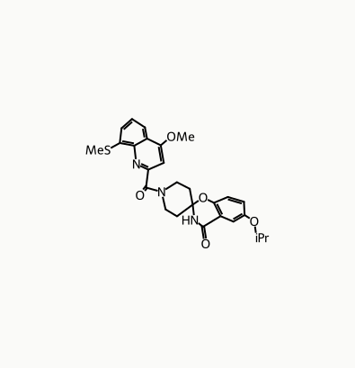 COc1cc(C(=O)N2CCC3(CC2)NC(=O)c2cc(OC(C)C)ccc2O3)nc2c(SC)cccc12